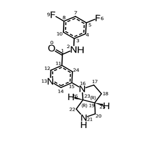 O=C(Nc1cc(F)cc(F)c1)c1cncc(N2CC[C@@H]3CNC[C@@H]32)c1